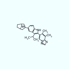 Cc1c(-c2[nH]c3ccc(C4CC5CCC(C4)N5)cc3c2C(C)C)cn2ncnc2c1C